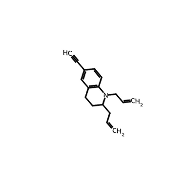 C#Cc1ccc2c(c1)CCC(CC=C)N2CC=C